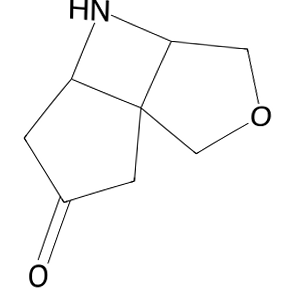 O=C1CC2NC3COCC32C1